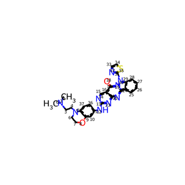 CN(C)CCN1CCOc2cc(Nc3ncc4c(=O)n5c(nc4n3)c3ccccc3n5-c3nccs3)ccc21